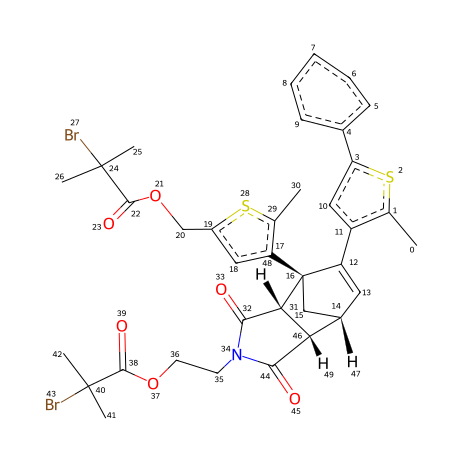 Cc1sc(-c2ccccc2)cc1C1=C[C@H]2C[C@]1(c1cc(COC(=O)C(C)(C)Br)sc1C)[C@H]1C(=O)N(CCOC(=O)C(C)(C)Br)C(=O)[C@@H]21